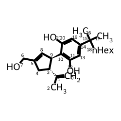 C=C(C)[C@@H]1CC(CO)=C[C@H]1c1c(O)cc(C(C)(C)CCCCCC)cc1O